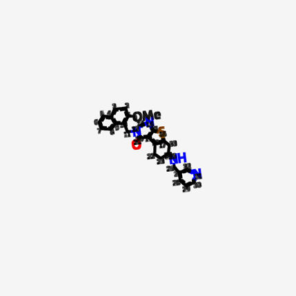 COc1ccc2ccccc2c1Cn1cnc2sc3c(c2c1=O)CC[C@@H](NCc1cccnc1)C3